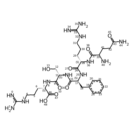 N=C(N)NCCC[C@H](NC(=O)[C@H](CO)NC(=O)[C@H](Cc1ccccc1)NC(=O)[C@H](CCCNC(=N)N)NC(=O)C(N)CCC(N)=O)C(=O)O